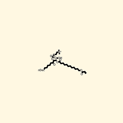 C=CC(=O)OCCCCCCCCCCCC(=O)O[C@@H](CO)C(OP(=O)([O-])OCC[N+](C)(C)C)C(=O)CCCCCCCCCCCCCCC